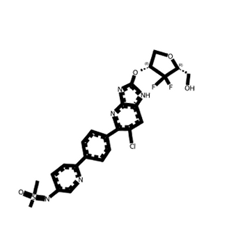 CS(C)(=O)=Nc1ccc(-c2ccc(-c3nc4nc(O[C@@H]5CO[C@H](CO)C5(F)F)[nH]c4cc3Cl)cc2)nc1